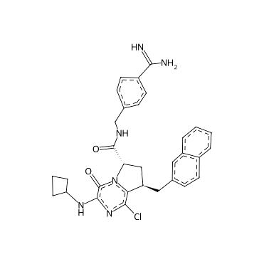 N=C(N)c1ccc(CNC(=O)[C@@H]2C[C@@H](Cc3ccc4ccccc4c3)c3c(Cl)nc(NC4CCC4)c(=O)n32)cc1